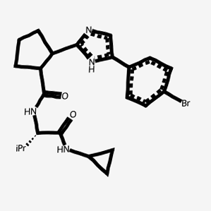 CC(C)[C@H](NC(=O)C1CCCC1c1ncc(-c2ccc(Br)cc2)[nH]1)C(=O)NC1CC1